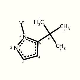 [C]n1nccc1C(C)(C)C